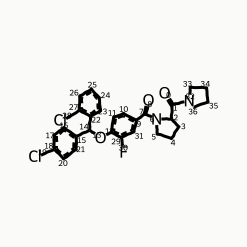 O=C(C1CCCN1C(=O)c1ccc(OC(c2ccc(Cl)cc2)c2ccccc2Cl)c(F)c1)N1CCCC1